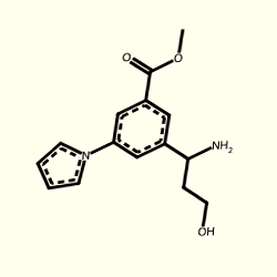 COC(=O)c1cc(C(N)CCO)cc(-n2cccc2)c1